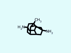 CC12CC3(N)CC4C5CC(N)(CC41)CC2C5C3